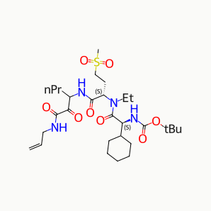 C=CCNC(=O)C(=O)C(CCC)NC(=O)[C@H](CCS(C)(=O)=O)N(CC)C(=O)[C@@H](NC(=O)OC(C)(C)C)C1CCCCC1